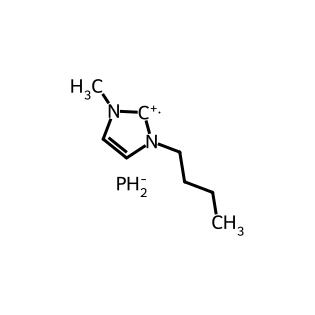 CCCCN1[C+]N(C)C=C1.[PH2-]